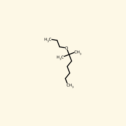 CCCCCC(C)(C)OCCC